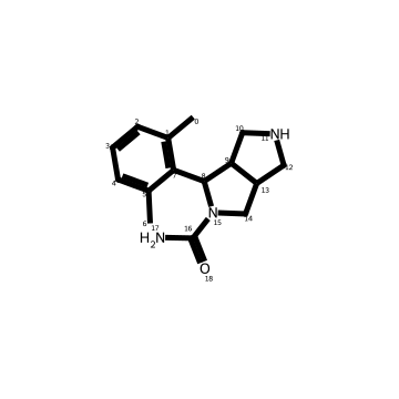 Cc1cccc(C)c1C1C2CNCC2CN1C(N)=O